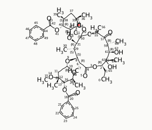 CC[C@H]1OC(=O)[C@H](C)[C@@H](O[C@H]2C[C@@](C)(OC)[C@@H](OC(=O)c3ccccc3)[C@H](C)O2)[C@H](C)[C@@H](O[C@@H]2O[C@H](C)C[C@H](C)[C@H]2OC(=O)c2ccccc2)[C@@](C)(OC)C[C@@H](C)C(=O)[C@H](C)[C@@H](O)[C@]1(C)O